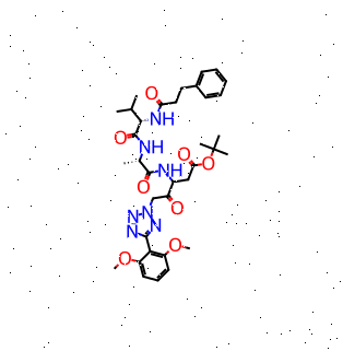 COc1cccc(OC)c1-c1nnn(CC(=O)C(CC(=O)OC(C)(C)C)NC(=O)[C@H](C)NC(=O)[C@@H](NC(=O)CCc2ccccc2)C(C)C)n1